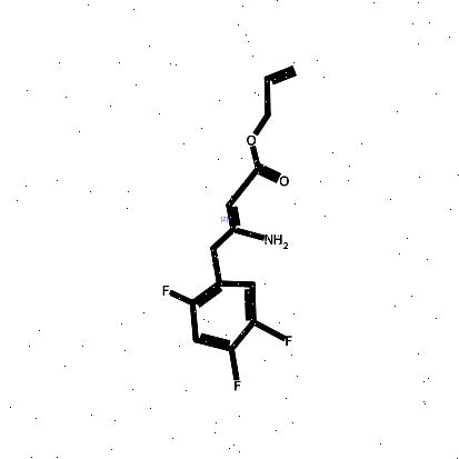 C=CCOC(=O)/C=C(\N)Cc1cc(F)c(F)cc1F